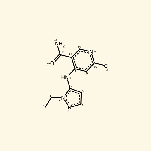 CCn1nccc1Nc1cc(Cl)ncc1C(N)=O